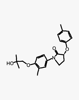 Cc1ccc(O[C@H]2CCN(c3ccc(OCC(C)(C)O)c(C)c3)C2=O)cc1